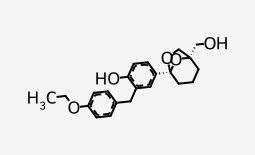 CCOc1ccc(Cc2cc([C@]34CCC[C@](CO)(CO3)O4)ccc2O)cc1